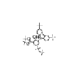 CC(C)(C)CC(C)(C)c1cc(B2OC(C)(C)C(C)(C)O2)c(O)c(-n2c3ccc(C(C)(C)C)cc3c3cc(C(C)(C)C)ccc32)c1